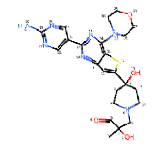 CC(O)(C=O)CN1CCC(O)(c2cc3nc(-c4cnc(N)nc4)nc(N4CCOCC4)c3s2)CC1